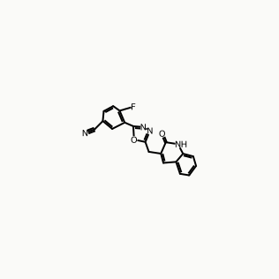 N#Cc1ccc(F)c(-c2nnc(Cc3cc4ccccc4[nH]c3=O)o2)c1